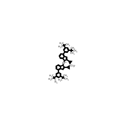 CC(C)(C)c1cc(-c2cccc3c2C=C(C2CC2)[CH]3[Hf+2][CH]2C(C3CC3)=Cc3c(-c4cc(C(C)(C)C)cc(C(C)(C)C)c4)cccc32)cc(C(C)(C)C)c1.[Cl-].[Cl-]